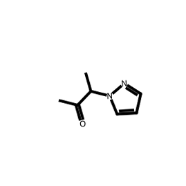 CC(=O)C(C)n1cccn1